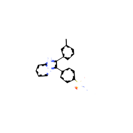 Cc1cccc(-c2nc3ccccn3c2-c2ccc(S(N)(=O)=O)cc2)c1